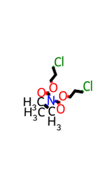 CC(C)(C)N(C(=O)OCCCCl)C(=O)OCCCCl